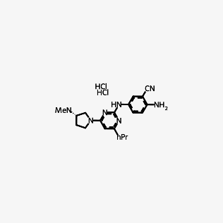 CCCc1cc(N2CC[C@H](NC)C2)nc(Nc2ccc(N)c(C#N)c2)n1.Cl.Cl